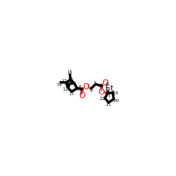 CCC1(OC(=O)CCOC(=O)C2CC3CC2C(C)C3C)CCCC1